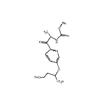 COCCC(Oc1ccc(C(=O)C(C)NC(=O)OC(C)(C)C)cc1)C(=O)O